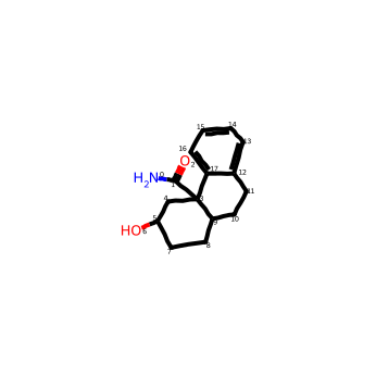 NC(=O)C12CC(O)CCC1CCc1ccccc12